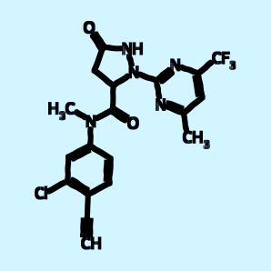 C#Cc1ccc(N(C)C(=O)C2CC(=O)NN2c2nc(C)cc(C(F)(F)F)n2)cc1Cl